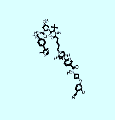 Cc1ncsc1-c1ccc([C@H](C)NC(=O)[C@@H]2C[C@@H](O)CN2C(=O)[C@@H](NC(=O)CCCCN2C[C@H]3C[C@@H]2CN3c2ccc(C(=O)N[C@H]3C[C@H](Oc4ccc(C#N)c(Cl)c4)C3)cn2)C(C)(C)C)cc1